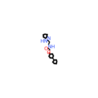 O=C(COc1ccc(-c2ccccc2)cc1)NCCc1nc2ccccc2[nH]1